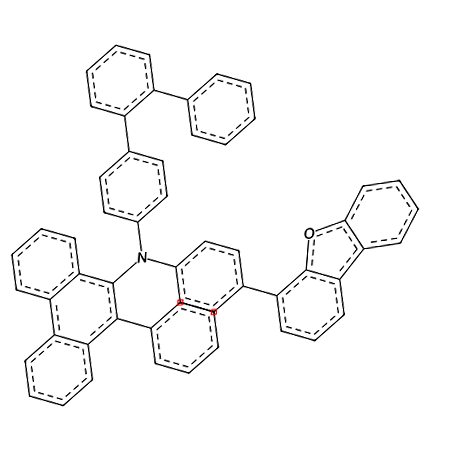 c1ccc(-c2ccccc2-c2ccc(N(c3ccc(-c4cccc5c4oc4ccccc45)cc3)c3c(-c4ccccc4)c4ccccc4c4ccccc34)cc2)cc1